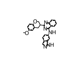 COc1ccc2c(c1)CC(c1nc(Nc3ccc4cn[nH]c4c3)c3ccccc3n1)CO2